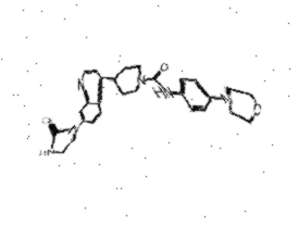 O=C(Nc1ccc(N2CCOCC2)cc1)N1CCC(c2ccnc3cc(N4CCNC4=O)ccc23)CC1